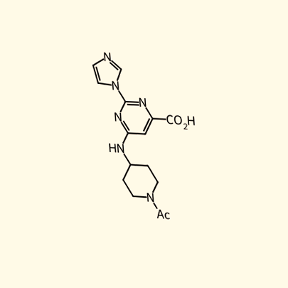 CC(=O)N1CCC(Nc2cc(C(=O)O)nc(-n3ccnc3)n2)CC1